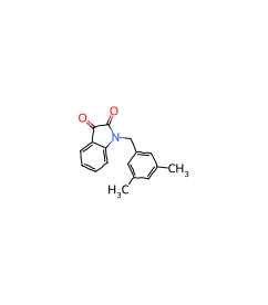 Cc1cc(C)cc(CN2C(=O)C(=O)c3ccccc32)c1